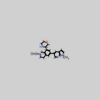 Cn1ccc2cc(-c3cc4c(c([C@@H]5COCCN5)c3)CN(C=O)CC4)cnc21